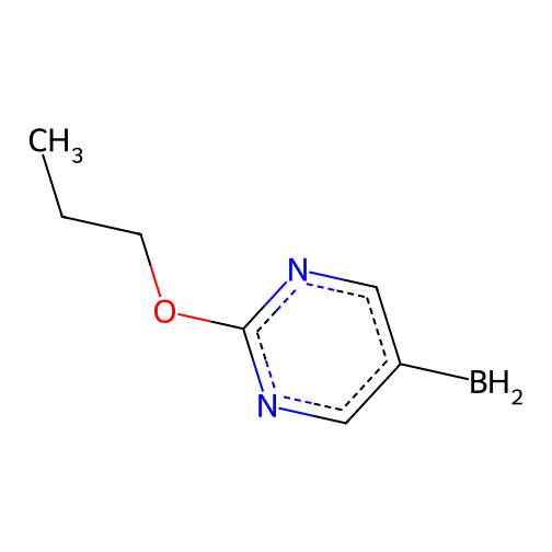 Bc1cnc(OCCC)nc1